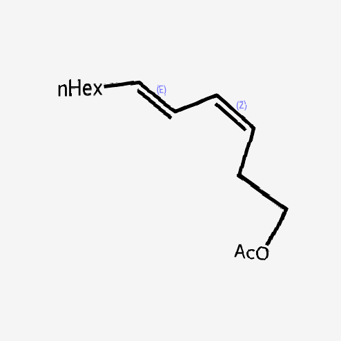 CCCCCC/C=C/C=C\CCOC(C)=O